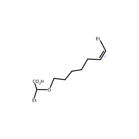 CC/C=C\CCCCCOC(CC)C(=O)O